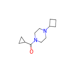 O=C(C1CC1)N1CCN(C2CCC2)CC1